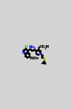 COc1ccc2ncc(Cl)c([C@H](N)CCC3CCN(CCSC4CC4)CC3CC(=O)O)c2c1